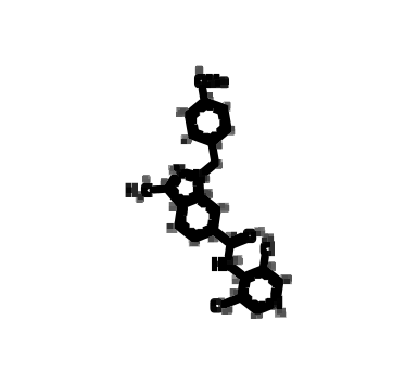 COc1ccc(Cn2nc(C)c3ccc(C(=O)Nc4c(Cl)cncc4Cl)cc32)cc1